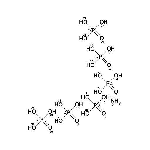 N.O=P(O)(O)O.O=P(O)(O)O.O=P(O)(O)O.O=P(O)(O)O.O=P(O)(O)O.O=P(O)(O)O